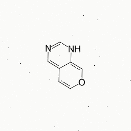 C1=CC2=CN=CNC2=CO1